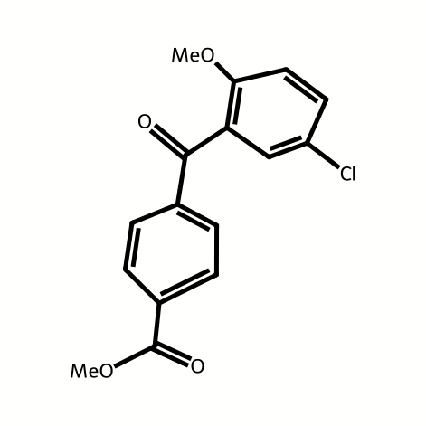 COC(=O)c1ccc(C(=O)c2cc(Cl)ccc2OC)cc1